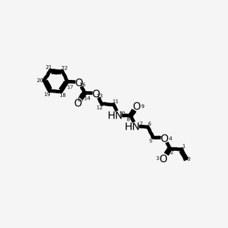 C=CC(=O)OCCNC(=O)NCCOC(=O)Oc1ccccc1